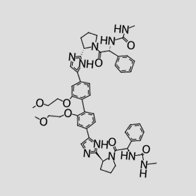 CNC(=O)N[C@@H](C(=O)N1CCC[C@H]1c1ncc(-c2ccc(-c3ccc(-c4cnc([C@@H]5CCCN5C(=O)[C@H](NC(=O)NC)c5ccccc5)[nH]4)cc3OCCOC)c(OCCOC)c2)[nH]1)c1ccccc1